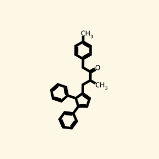 Cc1ccc(CC(=O)C(C)CC2=CC=C(c3ccccc3)C2c2ccccc2)cc1